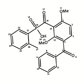 COc1ccc(C(=O)c2ccccc2)c(OC)c1C(=O)P(=O)(O)c1ccccc1C